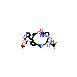 CO[C@@H](C)c1ncccc1-c1c2c3cc(ccc3n1CCOC(C)(C)C)-c1csc(n1)C[C@H](NC(=O)[C@H]1[C@H](C)[C@@H]1C)C(=O)N1CCC[C@H](N1)C(=O)OCC(C)(C)C2